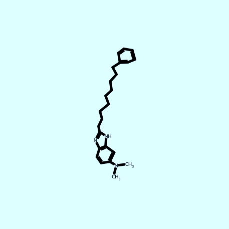 CN(C)c1ccc2nc(CCCCCCCCCc3ccccc3)[nH]c2c1